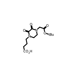 CC(C)(C)OC(=O)CN1CCN(CCCC(=O)O)C(=O)C1=O